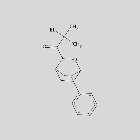 [CH2]CC(C)(C)C(=O)[C]1OC2CCC1CC2c1ccccc1